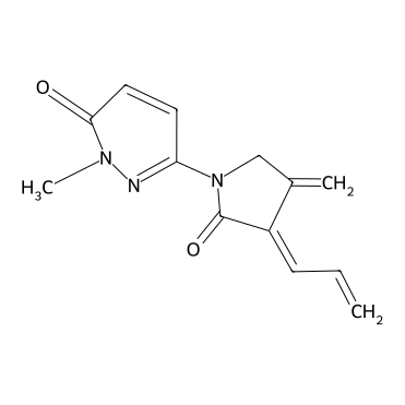 C=C/C=C1\C(=C)CN(c2ccc(=O)n(C)n2)C1=O